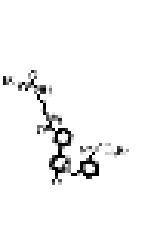 CCOC(=O)Nc1cccc(Cn2nc(-c3cccc(C(=O)NCCCNC(=O)OC(C)(C)C)c3)ccc2=O)c1